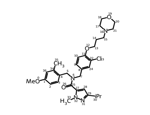 COc1ccc(CN(Cc2ccc(OCCCN3CCOCC3)c(Cl)c2)C(=O)c2cc(C(C)C)nn2C)c(C)c1